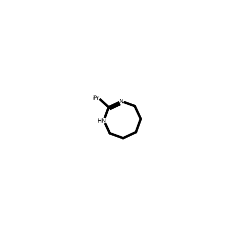 CC(C)/C1=N/CCCCCN1